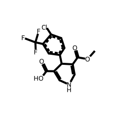 COC(=O)C1=CNC=C(C(=O)O)C1c1ccc(Cl)c(C(F)(F)F)c1